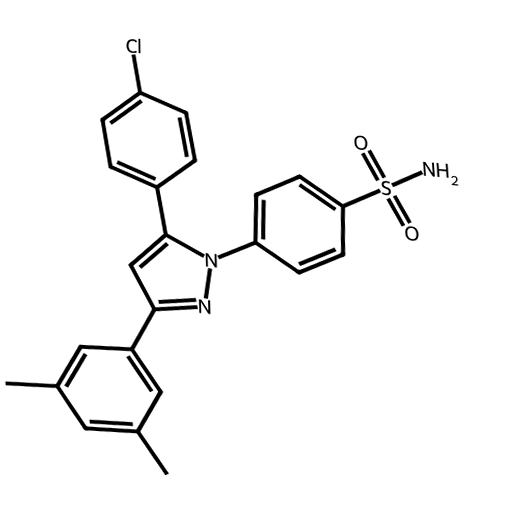 Cc1cc(C)cc(-c2cc(-c3ccc(Cl)cc3)n(-c3ccc(S(N)(=O)=O)cc3)n2)c1